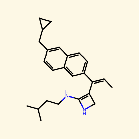 C/C=C(\C1=C(NCCC(C)C)NC1)c1ccc2cc(CC3CC3)ccc2c1